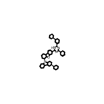 c1ccc(C2=NC(c3cccc(-c4ccccc4)c3)NC(c3ccc4c(c3)oc3c(-n5c6ccccc6c6cc(-c7ccccc7)ccc65)cccc34)=N2)cc1